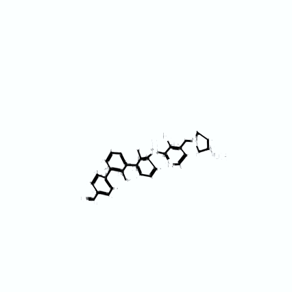 Cc1c(Nc2nccc(CN3CC[C@@H](O)C3)c2F)cccc1-c1cccc(-c2ccc(C=O)cc2)c1C